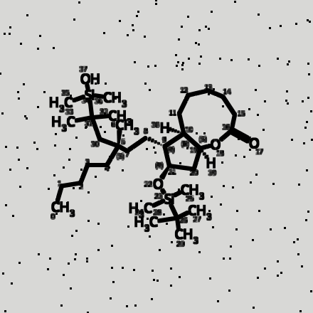 CCCCC[C@@](C)(CC[C@@H]1[C@H]2CCCCCC(=O)O[C@H]2C[C@H]1O[Si](C)(C)C(C)(C)C)CC(C)(C)[Si](C)(C)O